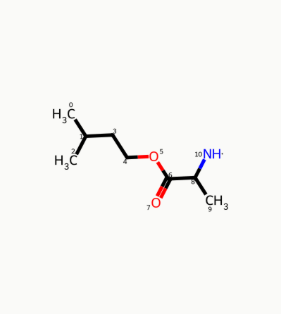 CC(C)CCOC(=O)C(C)[NH]